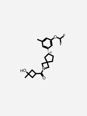 Cc1cc(OC(F)F)cc([C@@H]2CCC3(C2)CN(C(=O)C2CC(C)(O)C2)C3)c1